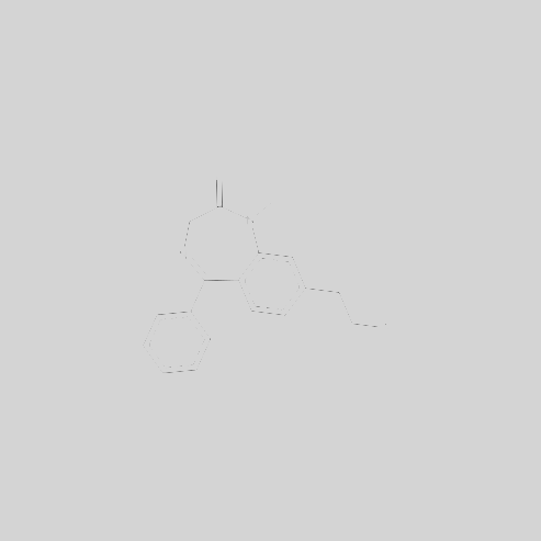 CC(=O)CCc1ccc2c(c1)N(C)C(=O)CN=C2c1ccccc1